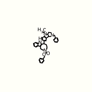 CCN1c2ccc(C3CCCN(C(=O)OCc4ccccc4)CCc4c3[nH]c3ccccc43)cc2C2CN(Cc3ccccc3)CCC21